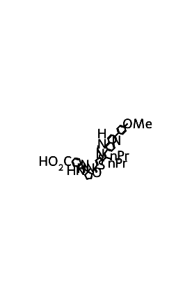 CCCC(CCC)c1c2n(c3cc(C(=O)NC4(c5nc6ccc(C(=O)O)cc6[nH]5)CCCC4)sc13)CCNc1c-2ccc2nc(-c3ccc(OC)cc3)ccc12